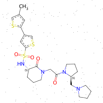 Cc1csc(-c2csc(S(=O)(=O)N[C@H]3CCCN(CC(=O)N4CCC[C@H]4CN4CCCC4)C3=O)c2)c1